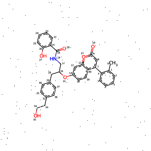 Cc1ccccc1-c1cc(=O)oc2cc(OC(CNC(=O)c3ccccc3O)Cc3ccc(CCO)cc3)ccc12